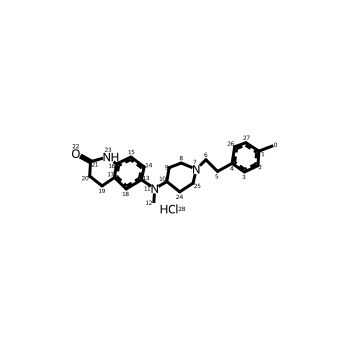 Cc1ccc(CCN2CCC(N(C)c3ccc4c(c3)CCC(=O)N4)CC2)cc1.Cl